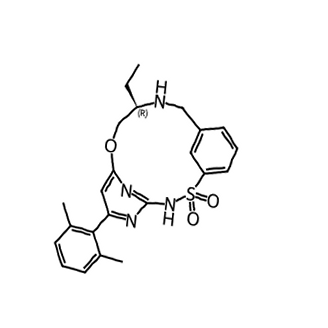 CC[C@@H]1COc2cc(-c3c(C)cccc3C)nc(n2)NS(=O)(=O)c2cccc(c2)CN1